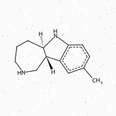 Cc1ccc2c(c1)[C@@H]1CNCCC[C@H]1N2